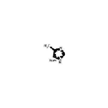 Cc1c[nH]cn1.[NaH]